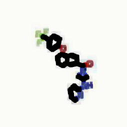 O=C(c1ccc2c(Oc3ccc(C(F)(F)F)cc3)cccc2c1)N1CC(Nc2ccccn2)C1